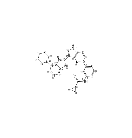 O=C(Nc1cncc(-c2ccc3[nH]nc(-c4nc5c(N6CCCCC6)cncc5[nH]4)c3n2)c1)C1CC1